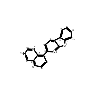 c1cc(-c2ccc3c(n2)sc2ccccc23)c2ncncc2c1